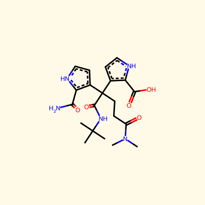 CN(C)C(=O)CCC(C(=O)NC(C)(C)C)(c1cc[nH]c1C(N)=O)c1cc[nH]c1C(=O)O